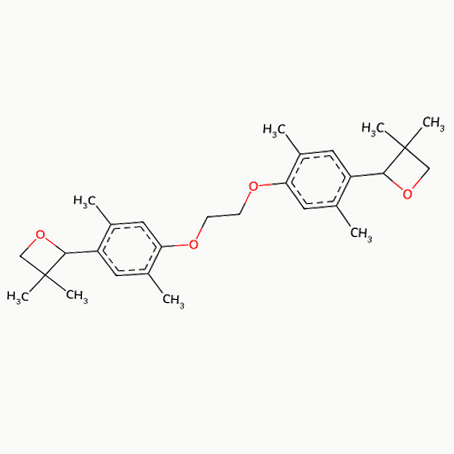 Cc1cc(C2OCC2(C)C)c(C)cc1OCCOc1cc(C)c(C2OCC2(C)C)cc1C